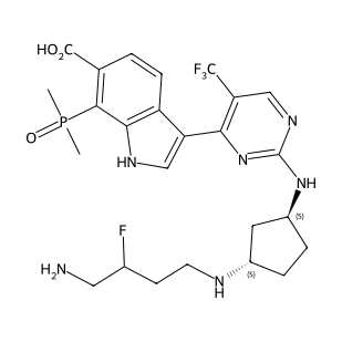 CP(C)(=O)c1c(C(=O)O)ccc2c(-c3nc(N[C@H]4CC[C@H](NCCC(F)CN)C4)ncc3C(F)(F)F)c[nH]c12